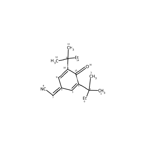 CCC(C)(C)C1=CC(=CC#N)C=C(C(C)(C)CC)C1=O